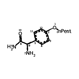 CCCCCOc1ccc(C(N)C(N)=O)cc1